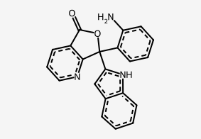 Nc1ccccc1C1(c2cc3ccccc3[nH]2)OC(=O)c2cccnc21